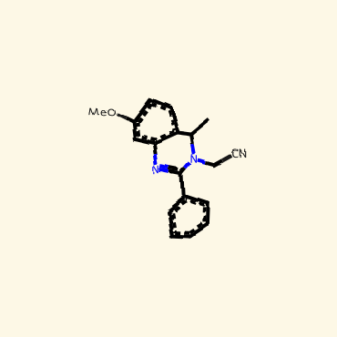 COc1ccc2c(c1)N=C(c1ccccc1)N(CC#N)C2C